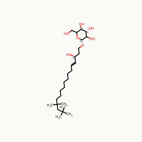 CC(C)(C)CC(C)(C)CCCCCCCC/C=C/[C@@H](O)CCO[C@@H]1OC(CO)[C@@H](O)[C@H](O)C1O